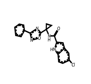 O=C(NC1(c2nc(-c3ccccc3)no2)CC1)c1cc2cc(Cl)ccc2[nH]1